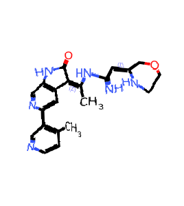 C/C(NC(=N)/C=C1/COCCN1)=C1/C(=O)Nc2cnc(-c3cnccc3C)cc21